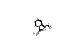 Bc1nc(C=O)c2ccccn12